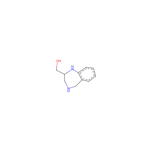 OCC1CNCc2ccccc2N1